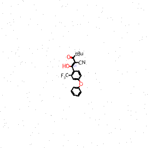 CC(C)(C)C(=O)/C(C#N)=C(\O)c1ccc(Oc2ccccc2)cc1C(F)(F)F